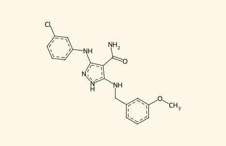 COc1cccc(CNc2[nH]nc(Nc3cccc(Cl)c3)c2C(N)=O)c1